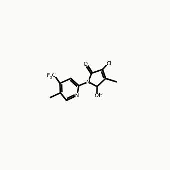 CC1=C(Cl)C(=O)N(c2cc(C(F)(F)F)c(C)cn2)C1O